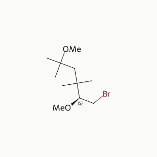 CO[C@H](CBr)C(C)(C)CC(C)(C)OC